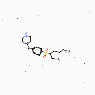 C=CC(CCCC)S(=O)(=O)c1ccc(CC2CCNCC2)cc1